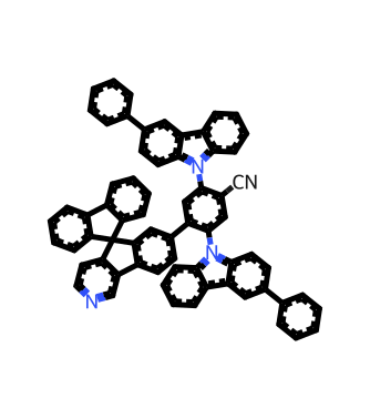 N#Cc1cc(-n2c3ccccc3c3cc(-c4ccccc4)ccc32)c(-c2ccc3c(c2)C2(c4ccccc4-c4ccccc42)c2ccncc2-3)cc1-n1c2ccccc2c2cc(-c3ccccc3)ccc21